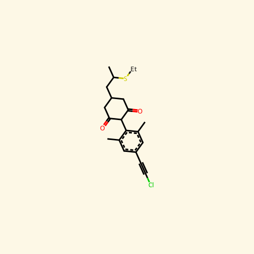 CCSC(C)CC1CC(=O)C(c2c(C)cc(C#CCl)cc2C)C(=O)C1